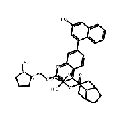 CN1CCC[C@H]1COc1nc(N2CC3CCC(C2)N3C(=O)OC(C)(C)C)c2cnc(-c3cc(O)cc4ccccc34)cc2n1